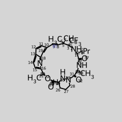 CC(C)[C@@H]1N[C@@H](C(F)(F)F)C(C)(C)/C=C/c2ccc3ccc(nc3c2)[C@@H](C)OC(=O)[C@@H]2CCCN(N2)C(=O)[C@H](C)NC1=O